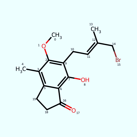 COc1c(C)c2c(c(O)c1C/C=C(\C)CBr)C(=O)CC2